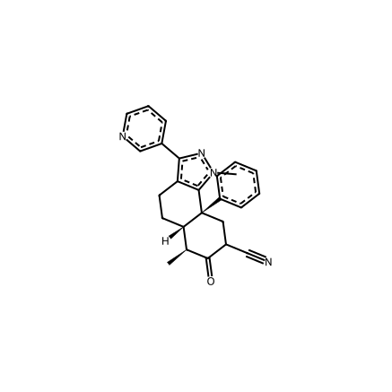 C[C@@H]1C(=O)C(C#N)C[C@@]2(c3ccccc3)c3c(c(-c4cccnc4)nn3C)CC[C@@H]12